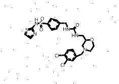 O=C(NCc1ccc(S(=O)(=O)Nc2nccs2)cc1)NCC1CN(Cc2ccc(Cl)c(Cl)c2)CCO1